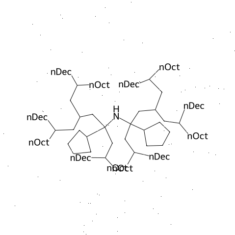 CCCCCCCCCCC(CCCCCCCC)CC(CC(CCCCCCCC)CCCCCCCCCC)CC(CC(CCCCCCCC)CCCCCCCCCC)(NC(CC(CCCCCCCC)CCCCCCCCCC)(CC(CC(CCCCCCCC)CCCCCCCCCC)CC(CCCCCCCC)CCCCCCCCCC)C1CCCC1)C1CCCC1